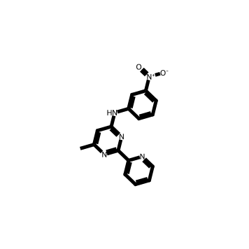 Cc1cc(Nc2cccc([N+](=O)[O-])c2)nc(-c2ccccn2)n1